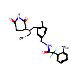 CNc1ccccc1C(F)(F)C(=O)NCc1ccc(C)c(CC(CC=O)C2CCC(=O)NC2=O)c1